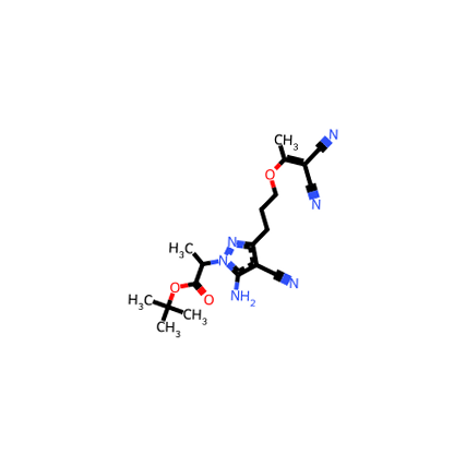 CC(OCCCc1nn(C(C)C(=O)OC(C)(C)C)c(N)c1C#N)=C(C#N)C#N